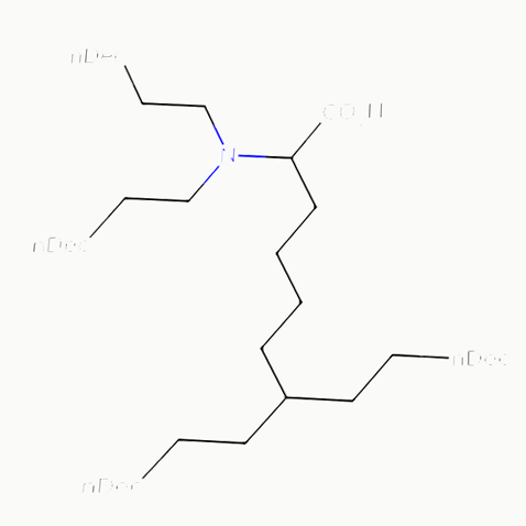 CCCCCCCCCCCCC(CCCCCCCCCCCC)CCCCC(C(=O)O)N(CCCCCCCCCCCC)CCCCCCCCCCCC